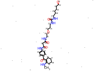 CNC1=C(C(=O)c2ccc(NC(=O)CC(=O)NCCOCCCNC(=O)NCCCCCC=O)cc2)CCCC1